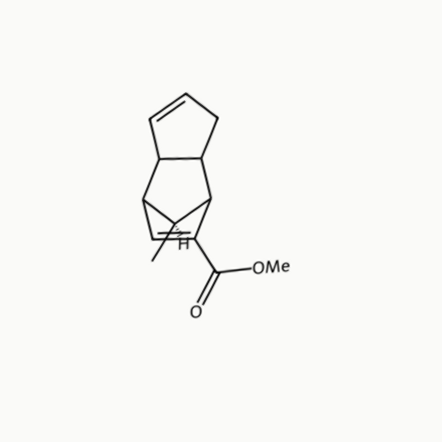 COC(=O)C1=CC2C3C=CCC3C1[C@H]2C